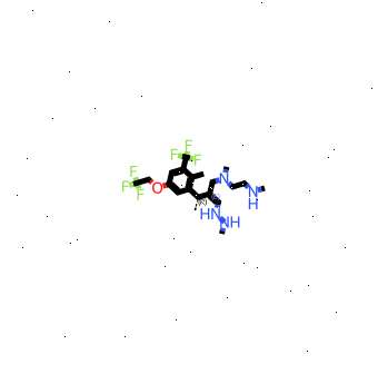 CNCCN(C)C/C(=C/NNC)[C@H](C)c1cc(OCC(F)(F)F)cc(C(F)(F)F)c1C